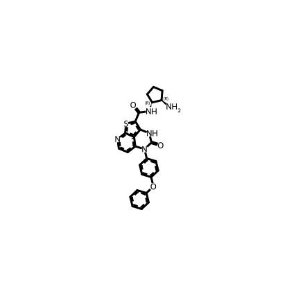 N[C@@H]1CCC[C@H]1NC(=O)c1sc2nccc3c2c1NC(=O)N3c1ccc(Oc2ccccc2)cc1